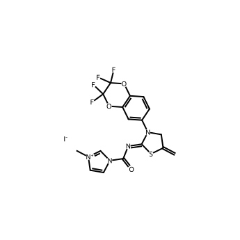 C=C1CN(c2ccc3c(c2)OC(F)(F)C(F)(F)O3)C(=NC(=O)n2cc[n+](C)c2)S1.[I-]